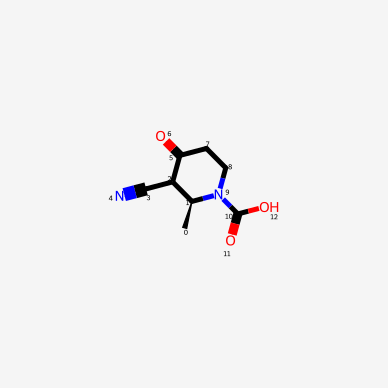 C[C@H]1C(C#N)C(=O)CCN1C(=O)O